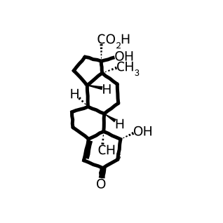 C[C@@]12C(=CC(=O)C[C@H]1O)CC[C@@H]1[C@@H]2CC[C@@]2(C)[C@H]1CC[C@]2(O)C(=O)O